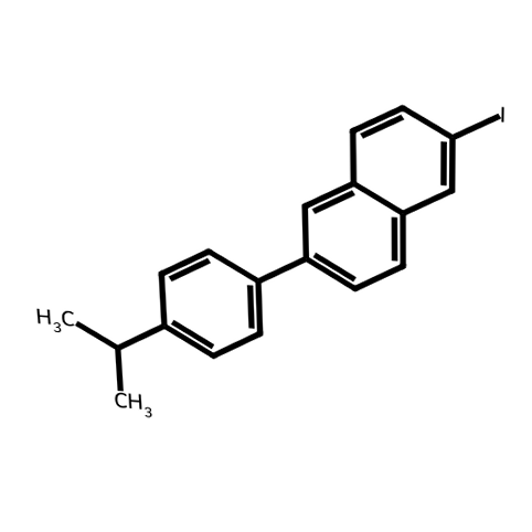 CC(C)c1ccc(-c2ccc3cc(I)ccc3c2)cc1